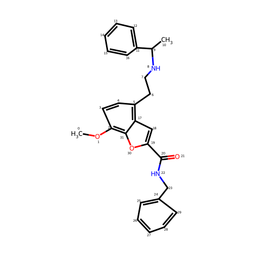 COc1ccc(CCNC(C)c2ccccc2)c2cc(C(=O)NCc3ccccc3)oc12